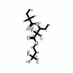 CCC(OC(=O)C(C)(C)CC)C(F)(F)C(=O)OCCC(F)(F)F